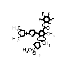 Cc1c(C(=O)Oc2c(F)c(F)c(F)c(F)c2F)cc(-c2ccc(N3C[C@@H](C)O[C@@H](C)C3)nc2)c2c1OC(C)([C@H]1CC[C@H](N(C)C)CC1)O2